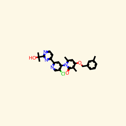 Cc1cccc(COc2cc(C)n(-c3cc(-c4ccnc(C(C)(C)O)n4)ncc3Cl)c(=O)c2C)c1